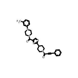 O=C(C#Cc1ccccc1)N1CCC(c2nc(C(=O)N3CCN(c4cccc(C(F)(F)F)c4)CC3)cs2)CC1